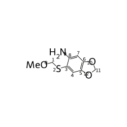 COCSc1cc2c(cc1N)OCO2